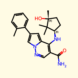 Cc1ccccc1-c1cc2c(N[C@@H]3CC[C@@](C)(O)C3(C)C)c(C(N)=O)cnn2c1